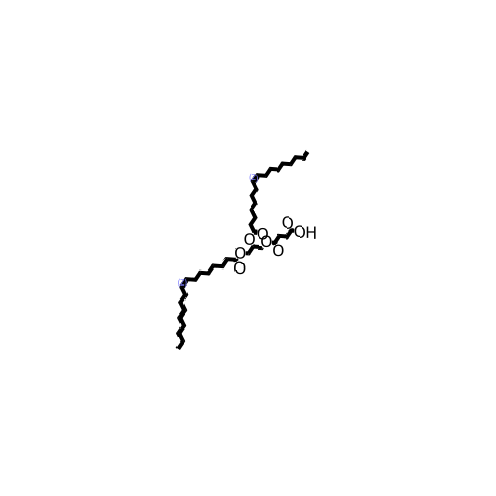 CCCCCCCC/C=C\CCCCCCC(=O)OCC(COC(=O)CCC(=O)O)OC(=O)CCCCCC/C=C\CCCCCCCC